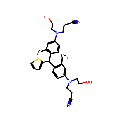 Cc1cc(N(CCO)CCC#N)ccc1C(c1cccs1)c1ccc(N(CCO)CCC#N)cc1C